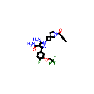 CC#CC(=O)N1CC[C@]2(C1)C[C@H](n1nc(-c3ccc(F)c(OCC(F)(F)F)c3)c(C(N)=O)c1N)C2